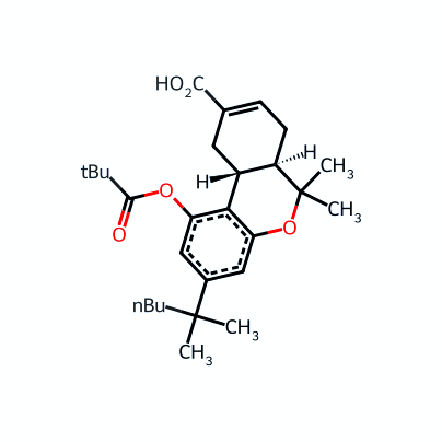 CCCCC(C)(C)c1cc(OC(=O)C(C)(C)C)c2c(c1)OC(C)(C)[C@@H]1CC=C(C(=O)O)C[C@@H]21